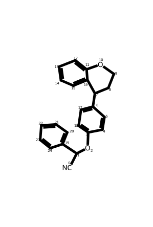 N#CC(Oc1ccc(C2CCOc3ccccc32)cc1)c1ccccc1